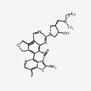 CN(C)CC1CN(c2ncc3c4c(c(-c5ncc(F)c6sc(N)c(C#N)c56)c(F)c3n2)COC4)CC1O